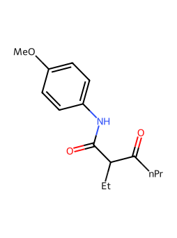 CCCC(=O)C(CC)C(=O)Nc1ccc(OC)cc1